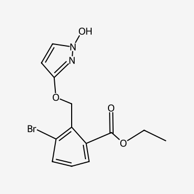 CCOC(=O)c1cccc(Br)c1COc1ccn(O)n1